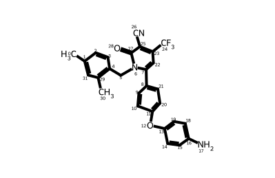 Cc1ccc(Cn2c(-c3ccc(Oc4ccc(N)cc4)cc3)cc(C(F)(F)F)c(C#N)c2=O)c(C)c1